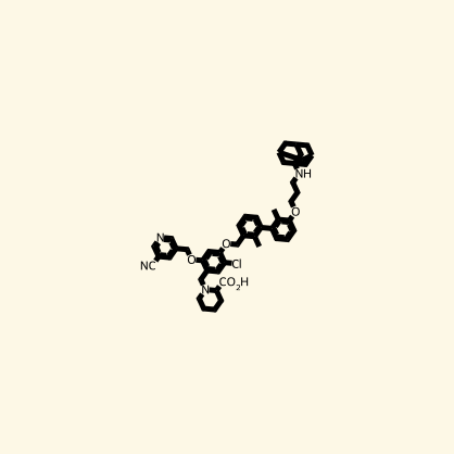 Cc1c(COc2cc(OCc3cncc(C#N)c3)c(CN3CCCCC3C(=O)O)cc2Cl)cccc1-c1cccc(OCCCNC23CC4CC(CC(C4)C2)C3)c1C